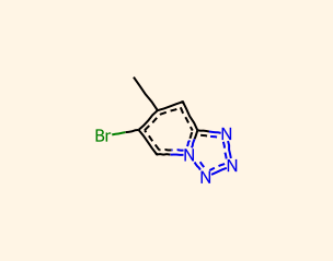 Cc1cc2nnnn2cc1Br